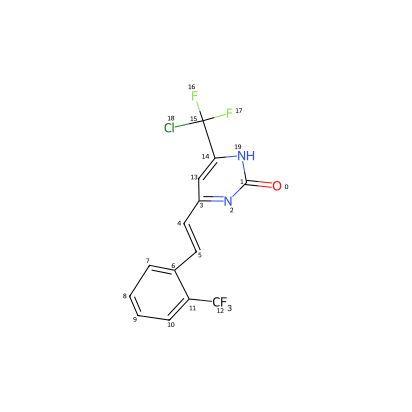 O=c1nc(/C=C/c2ccccc2C(F)(F)F)cc(C(F)(F)Cl)[nH]1